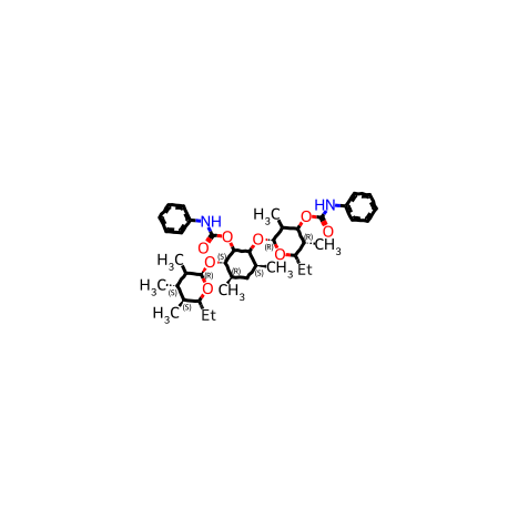 CCC1O[C@H](OC2C(OC(=O)Nc3ccccc3)[C@@H](O[C@H]3OC(CC)[C@@H](C)[C@H](C)C3C)[C@H](C)C[C@@H]2C)C(C)C(OC(=O)Nc2ccccc2)[C@@H]1C